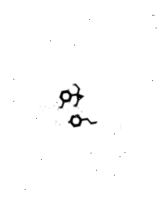 CNC(=O)c1ccc2c(c1)C1(CCO2)CC1C(=O)Nc1cc(C#N)ccc1CCCC(=O)O